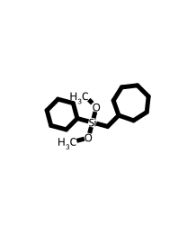 CO[Si](CC1CCCCCC1)(OC)C1CCCCC1